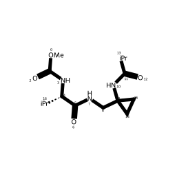 COC(=O)N[C@H](C(=O)NCC1(NC(=O)C(C)C)CC1)C(C)C